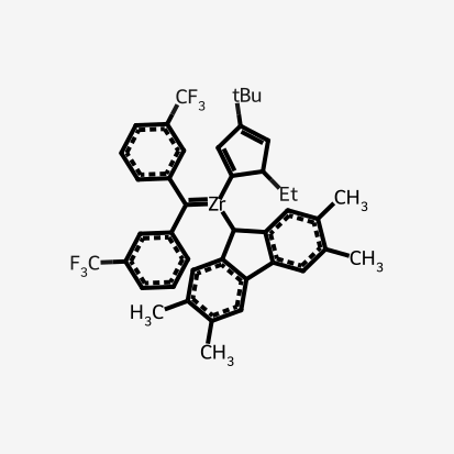 CCC1C=C(C(C)(C)C)C=[C]1[Zr](=[C](c1cccc(C(F)(F)F)c1)c1cccc(C(F)(F)F)c1)[CH]1c2cc(C)c(C)cc2-c2cc(C)c(C)cc21